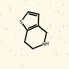 [CH]1NCCc2sccc21